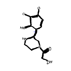 N=C1C(Cl)=C(Cl)C=C/C1=C1\CN(C(=O)CO)CCN1